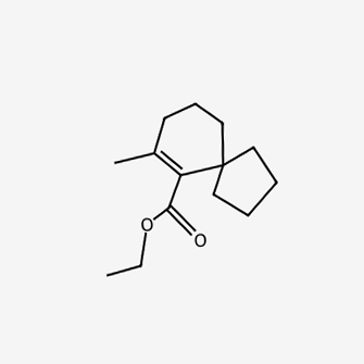 CCOC(=O)C1=C(C)CCCC12CCCC2